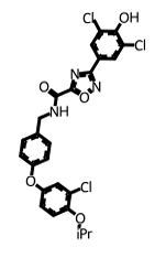 CC(C)Oc1ccc(Oc2ccc(CNC(=O)c3nc(-c4cc(Cl)c(O)c(Cl)c4)no3)cc2)cc1Cl